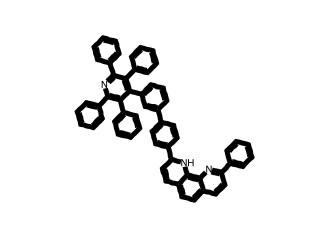 C1=CC(c2ccc(-c3cccc(-c4c(-c5ccccc5)c(-c5ccccc5)nc(-c5ccccc5)c4-c4ccccc4)c3)cc2)Nc2c1ccc1ccc(-c3ccccc3)nc21